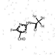 [2H]C([2H])([2H])C(=O)Nc1nc(F)c(C=O)s1